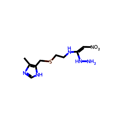 Cc1nc[nH]c1CSCCNC(=C[N+](=O)[O-])NN